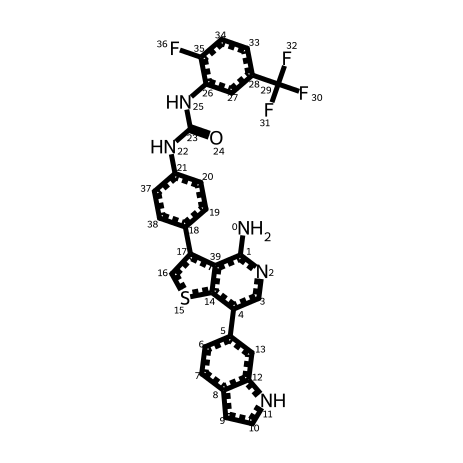 Nc1ncc(-c2ccc3cc[nH]c3c2)c2scc(-c3ccc(NC(=O)Nc4cc(C(F)(F)F)ccc4F)cc3)c12